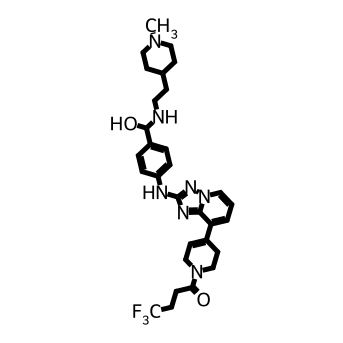 CN1CCC(CCNC(O)c2ccc(Nc3nc4c(C5=CCN(C(=O)CCC(F)(F)F)CC5)cccn4n3)cc2)CC1